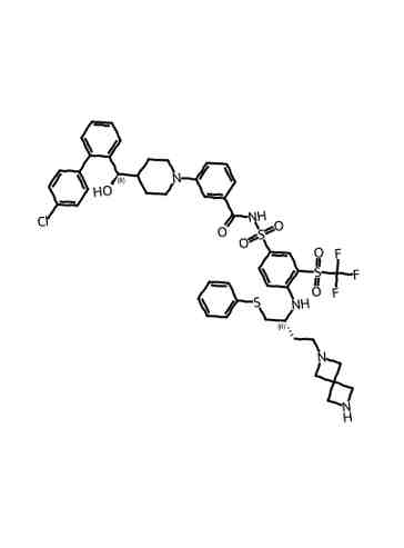 O=C(NS(=O)(=O)c1ccc(N[C@H](CCN2CC3(CNC3)C2)CSc2ccccc2)c(S(=O)(=O)C(F)(F)F)c1)c1cccc(N2CCC([C@@H](O)c3ccccc3-c3ccc(Cl)cc3)CC2)c1